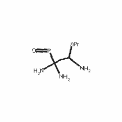 CCCC(N)C(N)(N)P=O